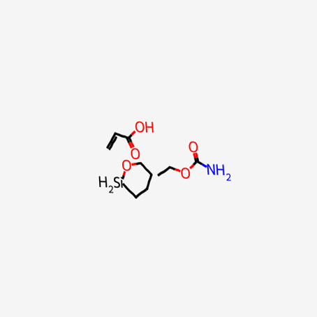 C1CC[SiH2]OC1.C=CC(=O)O.CCOC(N)=O